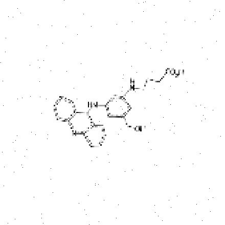 O=C(O)CCCNc1cc(CO)cc(Nc2c3ccccc3nc3ccccc23)c1